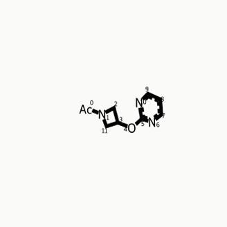 CC(=O)N1CC(Oc2ncccn2)C1